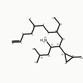 C=CCCC(C)CCC(CC)CC(C(N)CC(C)C)C1CC1C